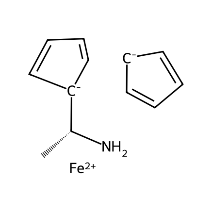 C[C@@H](N)[c-]1cccc1.[Fe+2].c1cc[cH-]c1